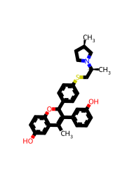 CC1=C(c2cccc(O)c2)C(c2ccc(SC[C@H](C)N3CC[C@@H](C)C3)cc2)Oc2ccc(O)cc21